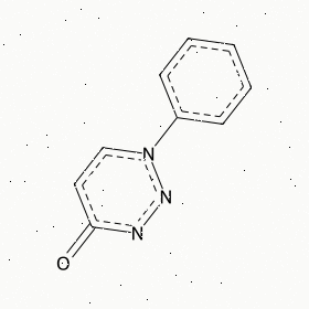 O=c1ccn(-c2ccccc2)nn1